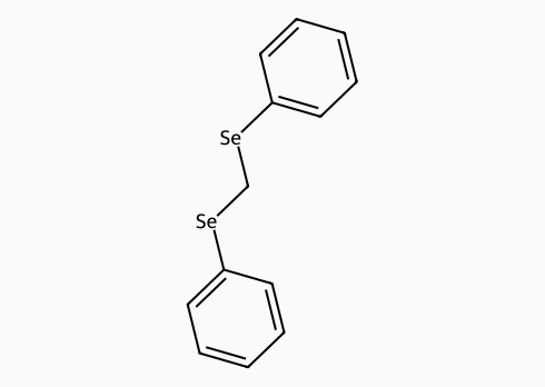 c1ccc([Se]C[Se]c2ccccc2)cc1